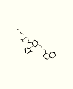 CSCC[C@H](NC(=O)c1ccc(COCc2cccc3ccccc23)cc1-c1ccccc1C)C(=O)[O-].[Li+]